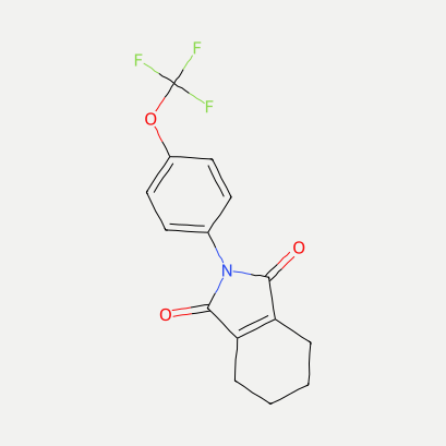 O=C1C2=C(CCCC2)C(=O)N1c1ccc(OC(F)(F)F)cc1